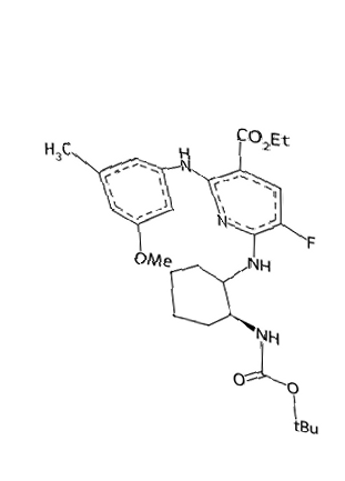 CCOC(=O)c1cc(F)c(NC2CCCC[C@@H]2NC(=O)OC(C)(C)C)nc1Nc1cc(C)cc(OC)c1